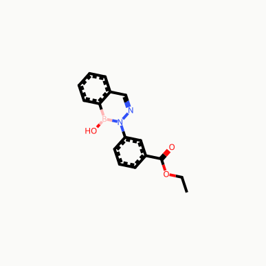 CCOC(=O)c1cccc(N2N=Cc3ccccc3B2O)c1